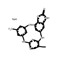 COc1cc(Nc2ncc(C)c(Nc3ccc4oc(=O)[nH]c4c3)n2)cc(C(F)(F)F)c1.[NaH]